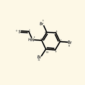 S=[C]Nc1c(Br)cc(Br)cc1Br